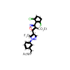 CCOC(=O)c1c(-c2c(F)cccc2Cl)noc1-c1cnn(-c2cccc(CNC(C)=O)c2)c1C(F)(F)F